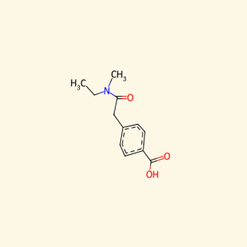 CCN(C)C(=O)Cc1ccc(C(=O)O)cc1